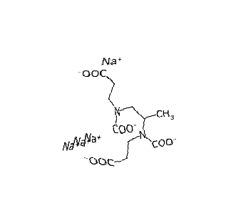 CC(CN(CCC(=O)[O-])C(=O)[O-])N(CCC(=O)[O-])C(=O)[O-].[Na+].[Na+].[Na+].[Na+]